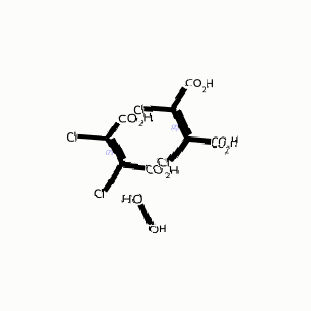 O=C(O)/C(Cl)=C(/Cl)C(=O)O.O=C(O)/C(Cl)=C(/Cl)C(=O)O.OO